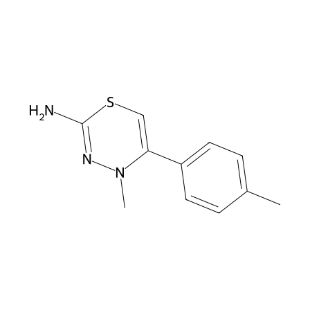 Cc1ccc(C2=CSC(N)=NN2C)cc1